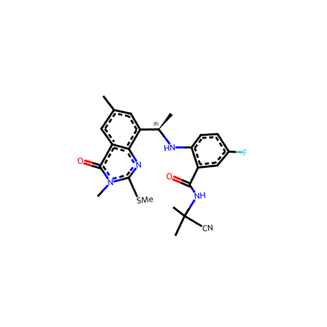 CSc1nc2c([C@@H](C)Nc3ccc(F)cc3C(=O)NC(C)(C)C#N)cc(C)cc2c(=O)n1C